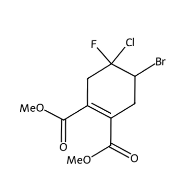 COC(=O)C1=C(C(=O)OC)CC(F)(Cl)C(Br)C1